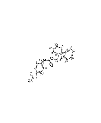 [2H]C(=O)Cc1ccc(NC(=O)OCC2c3ccccc3-c3ccccc32)cc1